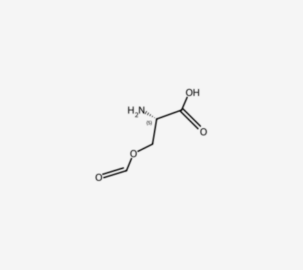 N[C@@H](COC=O)C(=O)O